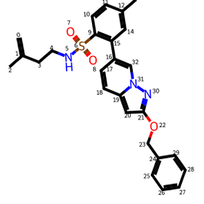 C=C(C)CCNS(=O)(=O)c1ccc(C)cc1-c1ccc2cc(OCc3ccccc3)nn2c1